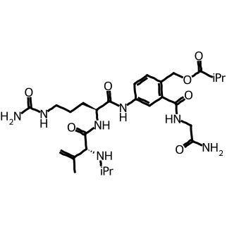 C=C(C)[C@@H](NC(C)C)C(=O)N[C@@H](CCCNC(N)=O)C(=O)Nc1ccc(COC(=O)C(C)C)c(C(=O)NCC(N)=O)c1